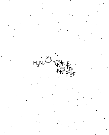 Cn1nc(C(F)(F)C(F)(F)F)c(C(F)(F)F)c1-n1cc(-c2cccc(CN)c2)cn1